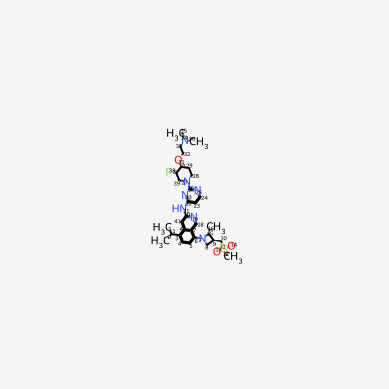 CC(C)c1ccc(N2C[C@H](CS(C)(=O)=O)[C@H]2C)c2cnc(Nc3ccnc(N4CC[C@@H](OCCN(C)C)[C@@H](F)C4)n3)cc12